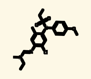 CCN(C)C=Nc1cc(C)c(N(c2ccc(OC)cc2)S(=O)(=O)CC)cc1Cl